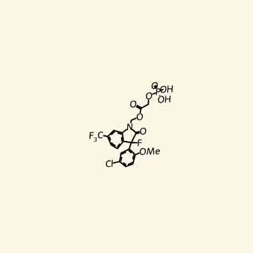 COc1ccc(Cl)cc1C1(F)C(=O)N(COC(=O)COP(=O)(O)O)c2cc(C(F)(F)F)ccc21